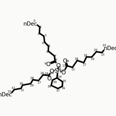 CCCCCCCCCCCCCCCCCC(=O)[O][Sn]([O]C(=O)CCCCCCCCCCCCCCCCC)([O]C(=O)CCCCCCCCCCCCCCCCC)[CH]1CCCCC1